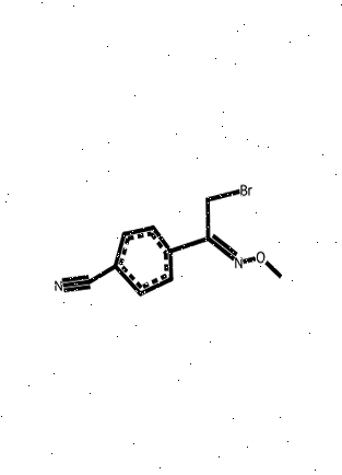 CO/N=C(\CBr)c1ccc(C#N)cc1